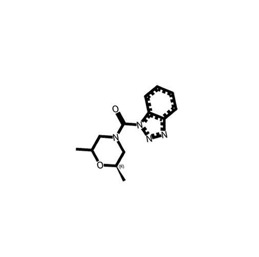 CC1CN(C(=O)n2nnc3ccccc32)C[C@@H](C)O1